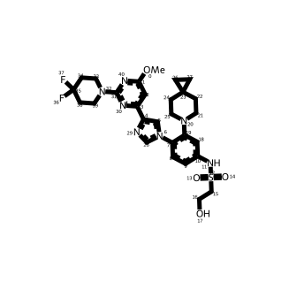 COc1cc(-c2cn(-c3ccc(NS(=O)(=O)CCO)cc3N3CCC4(CC3)CC4)cn2)nc(N2CCC(F)(F)CC2)n1